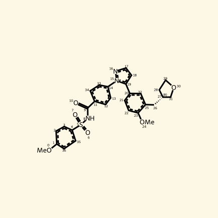 COc1ccc(S(=O)(=O)NC(=O)c2ccc(-n3nccc3-c3ccc(OC)c(C[C@@H]4CCOC4)c3)cc2)cc1